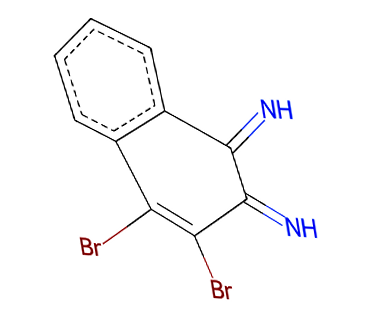 N=C1C(=N)c2ccccc2C(Br)=C1Br